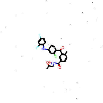 Cc1ccc(C(=O)NCC(C)O)cc1C(=O)c1ccc(Nc2ccc(F)cc2F)cc1Cl